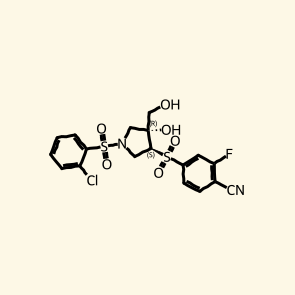 N#Cc1ccc(S(=O)(=O)[C@H]2CN(S(=O)(=O)c3ccccc3Cl)C[C@@]2(O)CO)cc1F